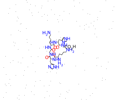 NCCCCC(N)C(=O)NC(Cc1c[nH]cn1)C(=O)NCC(=O)NC(CCCCN)C(=O)NC(Cc1c[nH]cn1)C(=O)NCC(=O)O